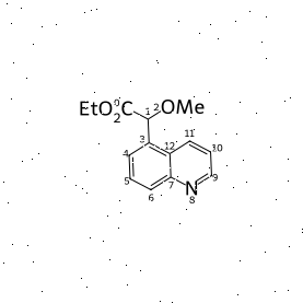 CCOC(=O)C(OC)c1cccc2ncccc12